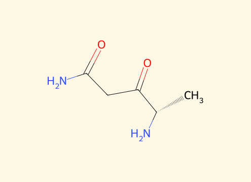 C[C@H](N)C(=O)CC(N)=O